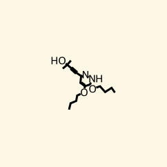 CCCCOC1=CC(C#CC(C)(C)O)=NNC1OCCCC